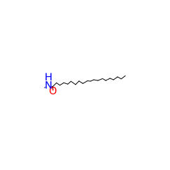 CCCCCCCCCCCCCCCCCCCC(=O)NC